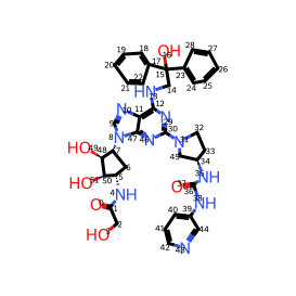 O=C(CO)N[C@H]1C[C@@H](n2cnc3c(NCC(O)(c4ccccc4)c4ccccc4)nc(N4CC[C@@H](NC(=O)Nc5cccnc5)C4)nc32)[C@H](O)[C@@H]1O